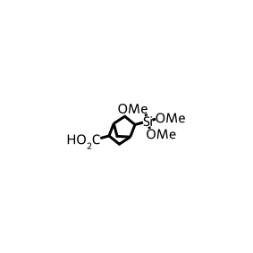 CO[Si](OC)(OC)C1CC2CC1CC2C(=O)O